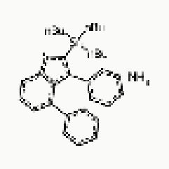 CCC[CH2][Sn]([CH2]CCC)([CH2]CCC)[c]1sc2cccc(-c3ccccc3)c2c1-c1ccccc1.N